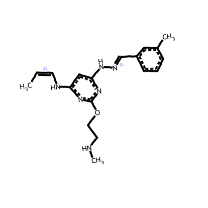 C/C=C\Nc1cc(N/N=C/c2cccc(C)c2)nc(OCCNC)n1